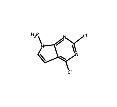 Pn1ccc2c(Cl)nc(Cl)nc21